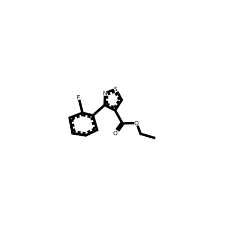 CCOC(=O)c1csnc1-c1ccccc1F